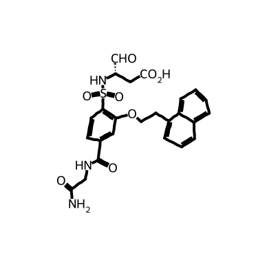 NC(=O)CNC(=O)c1ccc(S(=O)(=O)N[C@H](C=O)CC(=O)O)c(OCCc2cccc3ccccc23)c1